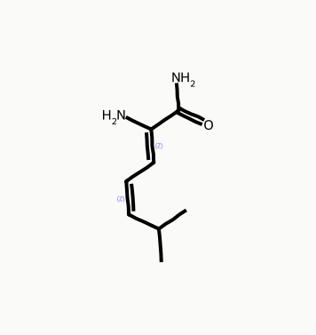 CC(C)/C=C\C=C(/N)C(N)=O